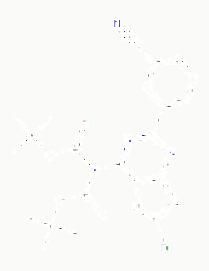 CC(C)(C)OC(=O)N(C(=O)OC(C)(C)C)c1nc(-c2cccc(C#N)c2)nc2sc(Br)cc12